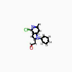 Cc1cc2c(cc(CC=O)n2-c2ccccc2)c(Cl)n1